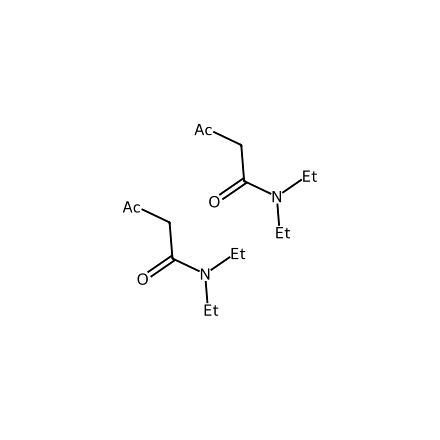 CCN(CC)C(=O)CC(C)=O.CCN(CC)C(=O)CC(C)=O